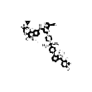 Cn1nc(C2CCC(=O)NC2=O)c2cccc(N3CCC(C(C)(C)N4CCN(c5cc(Nc6ccc7c(c6)c6c(c(=O)n7C)OCC(F)(F)[C@H](C7CC7)N6)n6ncc(C#N)c6n5)CC4)CC3)c21